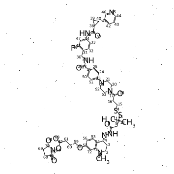 CN1CC/C(=N\NC(=O)CC(C)(C)SSCCC(=O)N2CCN(c3ccc(C(=O)NCc4ccc(NC(=O)[C@H]5C[C@@H]5c5cccnc5)cc4F)cc3)CC2)c2ccc(OCCCC(=O)ON3C(=O)CCC3=O)cc21